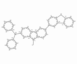 Cn1c2ccc(-c3ccc4c(c3)-c3ccccc3C4)cc2c2ccc(N(c3ccccc3)c3ccccc3)cc21